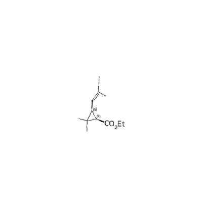 CCOC(=O)[C@@H]1[C@H](C=C(C)C)C1(C)C